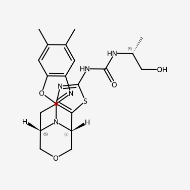 Cc1cc2nc(N3[C@@H]4COC[C@H]3c3sc(NC(=O)N[C@H](C)CO)nc3C4)oc2cc1C